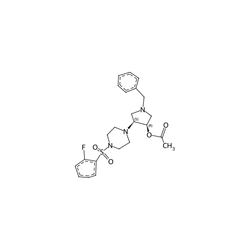 CC(=O)O[C@@H]1CN(Cc2ccccc2)C[C@@H]1N1CCN(S(=O)(=O)c2ccccc2F)CC1